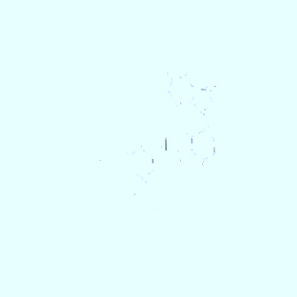 COc1ccc(C(=O)Nc2cccc(-n3cnc4ccccc43)c2)cc1OC